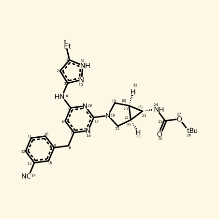 CCc1cc(Nc2cc(Cc3cccc(C#N)c3)nc(N3C[C@@H]4[C@H](C3)[C@H]4NC(=O)OC(C)(C)C)n2)n[nH]1